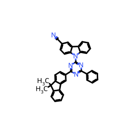 CC1(C)c2ccccc2-c2cc(-c3nc(-c4ccccc4)nc(-n4c5ccccc5c5cc(C#N)ccc54)n3)ccc21